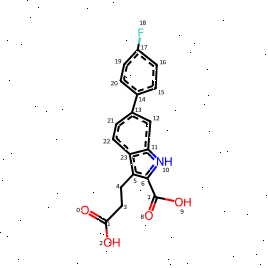 O=C(O)CCc1c(C(=O)O)[nH]c2cc(-c3ccc(F)cc3)ccc12